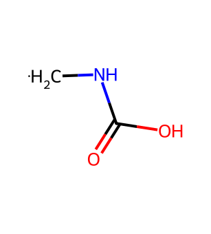 [CH2]NC(=O)O